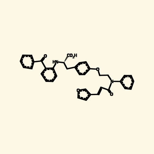 O=C(c1ccccc1)c1ccccc1N[C@@H](Cc1ccc(OCCN(C(=O)C=Cc2ccoc2)c2ccccc2)cc1)C(=O)O